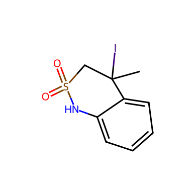 CC1(I)CS(=O)(=O)Nc2ccccc21